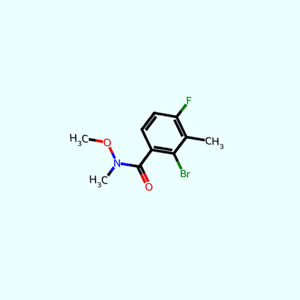 CON(C)C(=O)c1ccc(F)c(C)c1Br